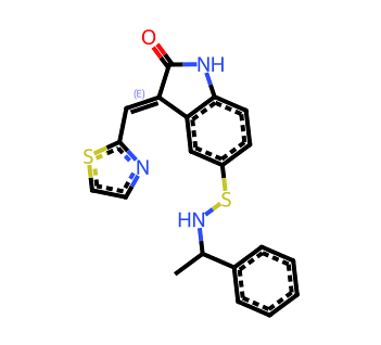 CC(NSc1ccc2c(c1)/C(=C\c1nccs1)C(=O)N2)c1ccccc1